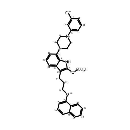 O=C(O)Oc1[nH]c2c(N3CCN(c4cccc(Cl)c4)CC3)cccc2c1CCCOc1cccc2ccccc12